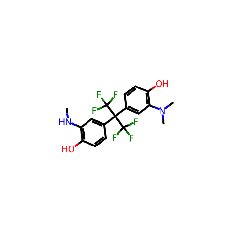 CNc1cc(C(c2ccc(O)c(N(C)C)c2)(C(F)(F)F)C(F)(F)F)ccc1O